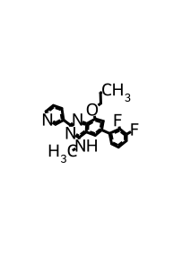 CCCOc1cc(-c2cccc(F)c2F)cc2c(NC)nc(-c3cccnc3)nc12